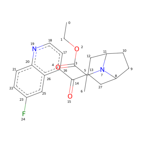 CCOC(=O)C(C)N1C2CCC1CC(C(=O)c1ccnc3ccc(F)cc13)C2